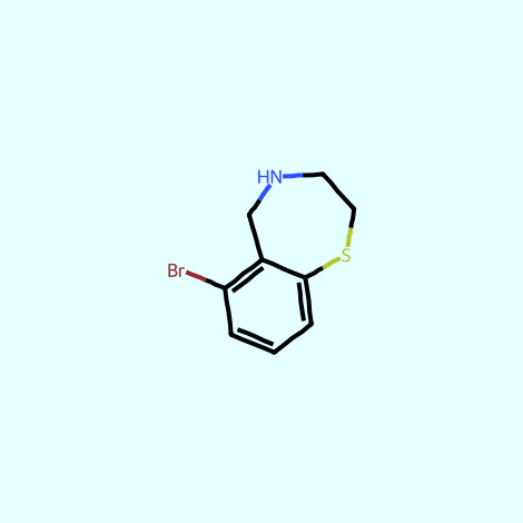 Brc1cccc2c1CNCCS2